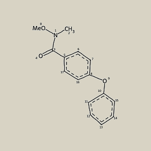 CON(C)C(=O)c1ccc(Oc2ccccc2)cc1